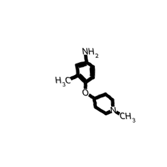 Cc1cc(N)ccc1OC1CCN(C)CC1